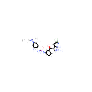 CN(C)c1ccc(NC(=O)Nc2cccc(C(=O)C3CNc4ncc(Cl)cc43)c2)cc1